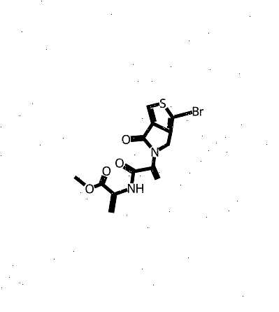 C=C(NC(=O)C(=C)N1Cc2c(csc2Br)C1=O)C(=O)OC